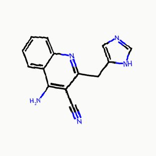 N#Cc1c(Cc2cnc[nH]2)nc2ccccc2c1N